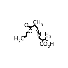 C=CCOC(=O)C(C)CN=NCC(C)C(=O)O